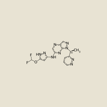 C[C@@H](c1cccnn1)n1ncc2ncc(Nc3cc(OC(F)F)[nH]n3)nc21